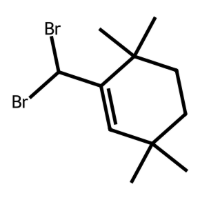 CC1(C)C=C(C(Br)Br)C(C)(C)CC1